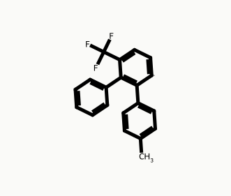 Cc1ccc(-c2[c]ccc(C(F)(F)F)c2-c2ccccc2)cc1